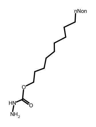 CCCCCCCCCCCCCCCCCCOC(=O)NN